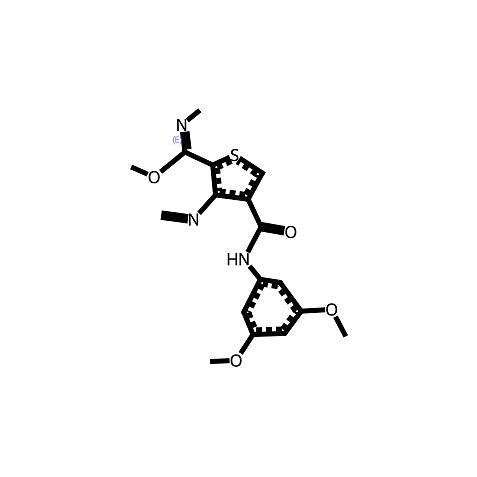 C=Nc1c(C(=O)Nc2cc(OC)cc(OC)c2)csc1/C(=N\C)OC